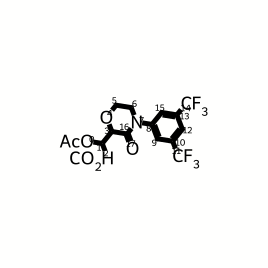 CC(=O)OC(C(=O)O)C1OCCN(c2cc(C(F)(F)F)cc(C(F)(F)F)c2)C1=O